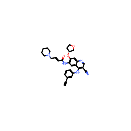 C#Cc1cccc(Nc2c(C#N)cnc3cc(O[C@H]4CCOC4)c(NC(=O)/C=C/CN4CCCCC4)cc23)c1